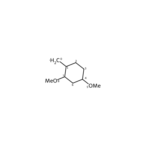 [CH2]C1CCC(OC)CC1OC